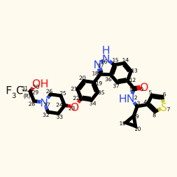 O=C(NC(c1ccsc1)C1CC1)c1ccc2[nH]nc(-c3ccc(OC4CCN(C[C@@H](O)C(F)(F)F)CC4)cc3)c2c1